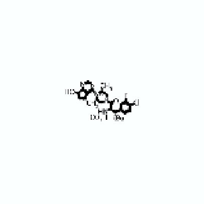 C[C@@H]1C[C@@H](O)c2ncnc(N3CCN(C(=O)C(NC(=O)O)[C@@H](c4ccc(Cl)c(F)c4)C(C)(C)C)C[C@@H]3C)c21